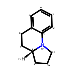 c1ccc2c(c1)CC[C@H]1CCCN21